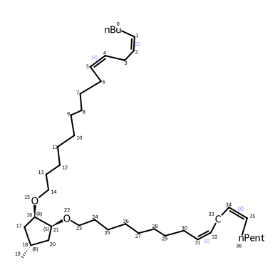 CCCC/C=C\C/C=C\CCCCCCCCCO[C@@H]1C[C@@H](C)C[C@@H]1OCCCCCCCC/C=C\C/C=C\CCCCC